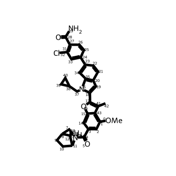 COc1cc(C(=O)N2CC3CCC2[C@@H]3N)cc2oc(-c3cc4ccc(-c5ccc(C(N)=O)c(Cl)c5)cc4n3CC3CC3)c(C)c12